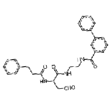 O=CCC(NC(=O)CCc1ccccc1)C(=O)NCCNC(=O)c1cccc(-c2ccccc2)c1